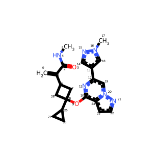 C=C(C(=O)NC)C1CC(Oc2nc(-c3cnn(C)c3)cn3nccc23)(C2CC2)C1